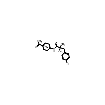 CC(C)(Cc1ccc(Cl)cc1)C(=O)NC12CCC(C(N)=O)(CC1)CC2